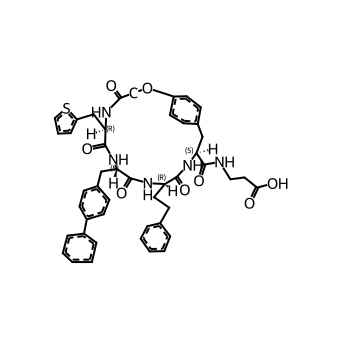 O=C(O)CCNC(=O)[C@@H]1Cc2ccc(cc2)OCC(=O)N[C@H](Cc2cccs2)C(=O)N[C@@H](Cc2ccc(-c3ccccc3)cc2)C(=O)N[C@H](CCc2ccccc2)C(=O)N1